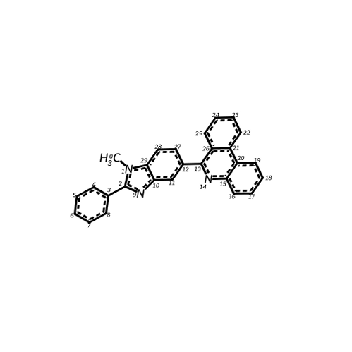 Cn1c(-c2ccccc2)nc2cc(-c3nc4ccccc4c4ccccc34)ccc21